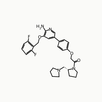 Nc1ncc(-c2ccc(OCC(=O)N3CCC[C@@H]3CN3CCCC3)cc2)cc1OCc1c(F)cccc1F